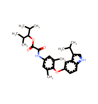 Cc1cc(NC(=O)C(=O)OC(C(C)C)C(C)C)cc(C)c1Oc1ccc2[nH]cc(C(C)C)c2c1